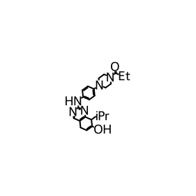 CCC(=O)N1CCN(c2ccc(Nc3ncc4c(n3)C(C(C)C)C(O)=CC4)cc2)CC1